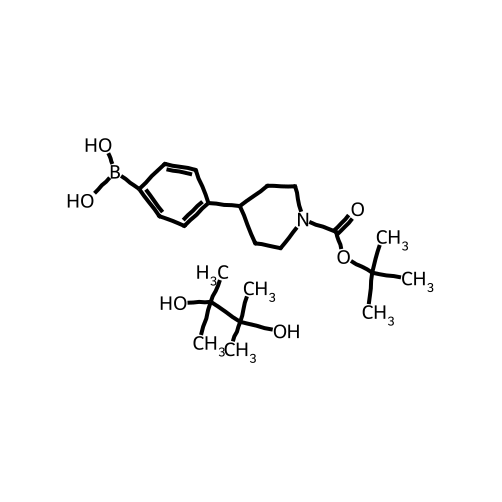 CC(C)(C)OC(=O)N1CCC(c2ccc(B(O)O)cc2)CC1.CC(C)(O)C(C)(C)O